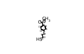 COC(=O)c1ccc(SCCS)cc1